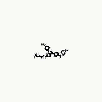 CSN1CCN([C@@H](C)c2ccc(-c3cn([C@H]4CC[C@H](O)CC4)c4nc(NCCCCC(F)(F)F)ncc34)cc2)CC1